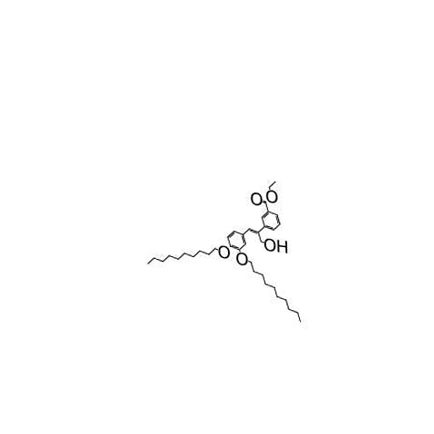 CCCCCCCCCCOc1ccc(C=C(CO)c2cccc(C(=O)OCC)c2)cc1OCCCCCCCCCC